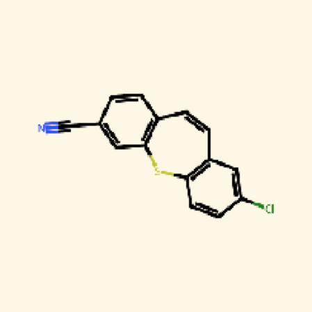 N#Cc1ccc2c(c1)Sc1ccc(Cl)cc1C=C2